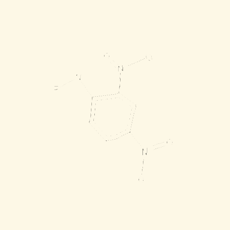 O=[N+]([O-])c1ccc(NF)c([N+](=O)[O-])c1